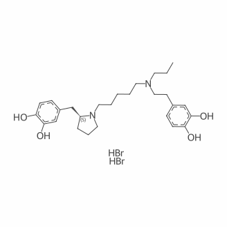 Br.Br.CCCN(CCCCCN1CCC[C@H]1Cc1ccc(O)c(O)c1)CCc1ccc(O)c(O)c1